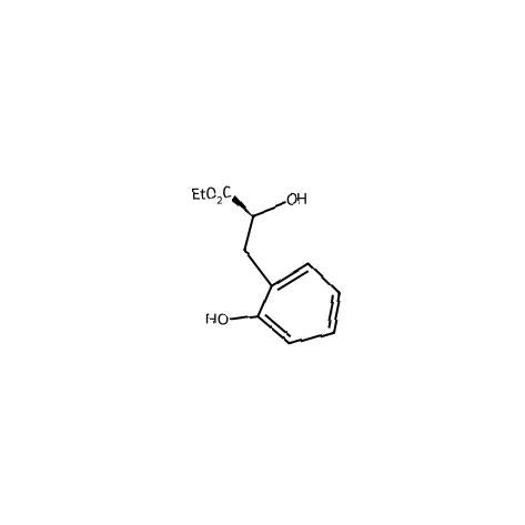 CCOC(=O)[C@@H](O)Cc1ccccc1O